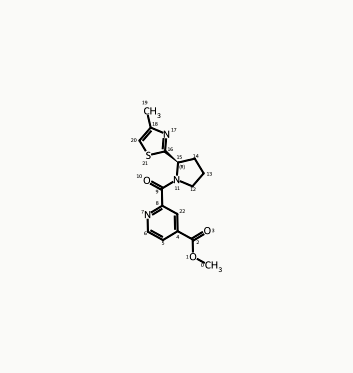 COC(=O)c1ccnc(C(=O)N2CCC[C@@H]2c2nc(C)cs2)c1